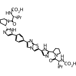 CC(C)[C@H](NC(=O)O)C(=O)N1CCCC1c1ncc(-c2cn3cc(-c4ccc(-c5cnc([C@@H]6CCCN6C(=O)[C@@H](NC(=O)O)C(C)C)[nH]5)cc4)nc3s2)[nH]1